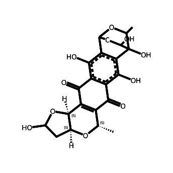 CC1OC2CC(O)C1(O)c1c(O)c3c(c(O)c12)C(=O)C1=C(C3=O)[C@H](C)O[C@H]2CC(O)O[C@@H]12